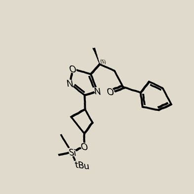 C[C@@H](CC(=O)c1ccccc1)c1nc(C2CC(O[Si](C)(C)C(C)(C)C)C2)no1